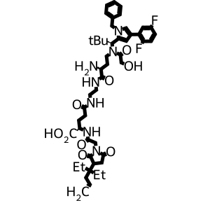 C=CCC(CC)(CC)C1CC(=O)N(CC(=O)N[C@@H](CCC(=O)NCCNC(=O)[C@@H](N)CCN(C(=O)CO)[C@@H](c2cc(-c3cc(F)ccc3F)cn2Cc2ccccc2)C(C)(C)C)C(=O)O)C1=O